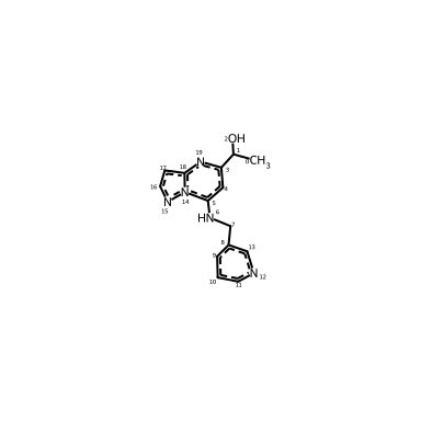 CC(O)c1cc(NCc2cccnc2)n2nccc2n1